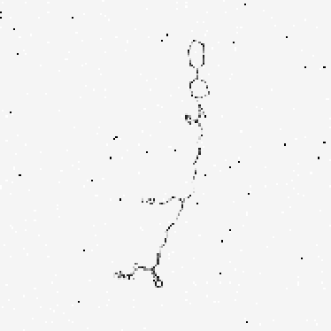 CCCCCCCCCOC(=O)CCCCCCCN(CCO)CCCCCCCC(=O)OC1CCC(C2CCCCC2)CC1